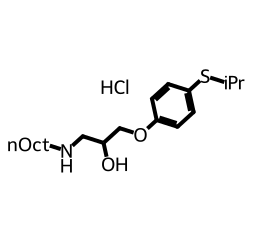 CCCCCCCCNCC(O)COc1ccc(SC(C)C)cc1.Cl